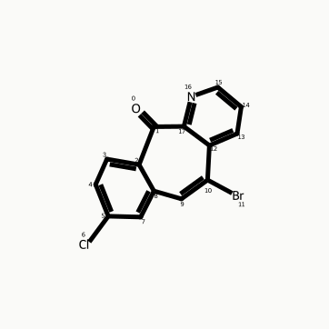 O=c1c2ccc(Cl)cc2cc(Br)c2cccnc12